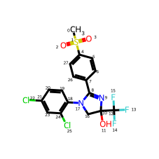 CS(=O)(=O)c1ccc(C2=NC(O)(C(F)(F)F)CN2c2ccc(Cl)cc2Cl)cc1